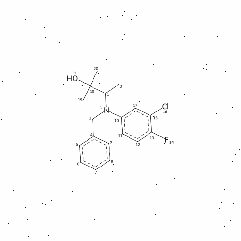 CC(N(Cc1ccccc1)c1ccc(F)c(Cl)c1)C(C)(C)O